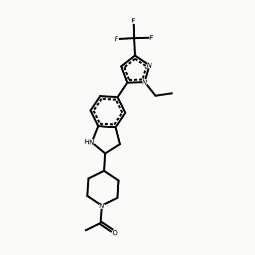 CCn1nc(C(F)(F)F)cc1-c1ccc2c(c1)CC(C1CCN(C(C)=O)CC1)N2